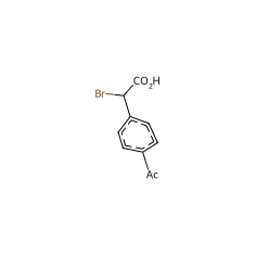 CC(=O)c1ccc(C(Br)C(=O)O)cc1